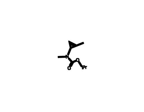 CC1=CC1N(C)C(=O)OC(C)C